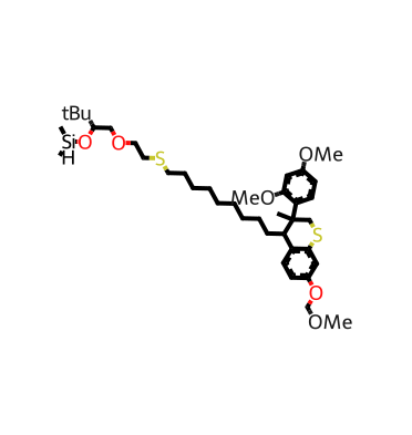 COCOc1ccc2c(c1)SCC(C)(c1ccc(OC)cc1OC)C2CCCCCCCCCSCCOCC(O[SiH](C)C)C(C)(C)C